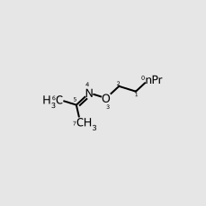 CCCCCON=C(C)C